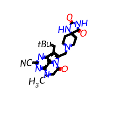 CN1CC(=O)n2c(CN3CCC4(CC3)NC(=O)NC4=O)c(CC(C)(C)C)c3nc(C#N)nc1c32